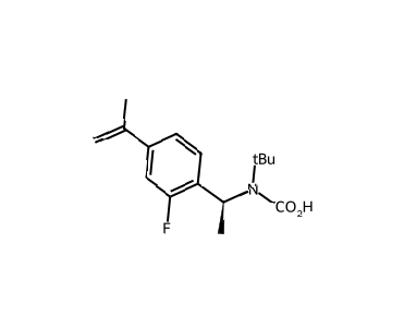 C=C(C)c1ccc([C@H](C)N(C(=O)O)C(C)(C)C)c(F)c1